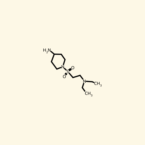 CCN(CC)CCS(=O)(=O)N1CCC(N)CC1